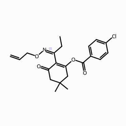 C=CCO/N=C(/CC)C1=C(OC(=O)c2ccc(Cl)cc2)CC(C)(C)CC1=O